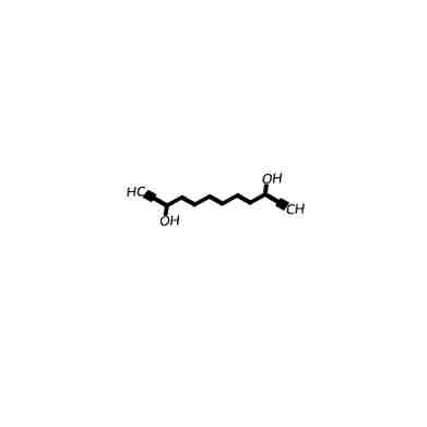 C#CC(O)CCCCCCC(O)C#C